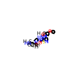 Cc1cc(Oc2ccccc2)ccc1N1C(=O)Nc2c(C(=O)NC3CCCN(C(=O)C(C#N)=CC(C)(C)NC(=O)O)C3)sc3nccc1c23